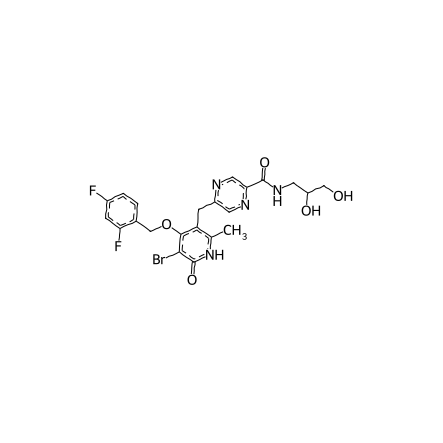 Cc1[nH]c(=O)c(Br)c(OCc2ccc(F)cc2F)c1Cc1cnc(C(=O)NCC(O)CO)cn1